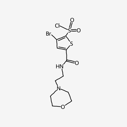 O=C(NCCN1CCOCC1)c1cc(Br)c(S(=O)(=O)Cl)s1